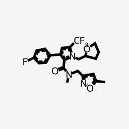 Cc1cc(CN(C)C(=O)c2c(-c3ccc(F)cc3)cc(C(F)(F)F)n2CC2CCCO2)no1